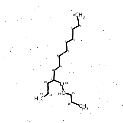 CCCCCCCCCC(CCC)OOCCC